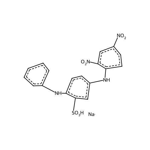 O=[N+]([O-])c1ccc(Nc2ccc(Nc3ccccc3)c(S(=O)(=O)O)c2)c([N+](=O)[O-])c1.[Na]